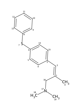 CC(=Cc1ccc(Sc2ccccc2)cc1)CN(C)C